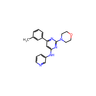 Cc1cccc(-c2cc(Nc3cccnc3)nc(N3CCOCC3)n2)c1